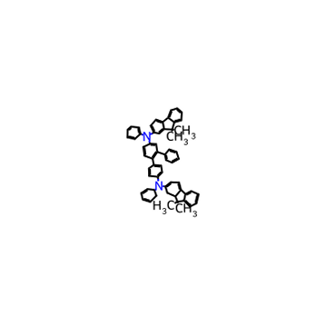 CC1(C)c2ccccc2-c2ccc(N(c3ccccc3)c3ccc(-c4ccc(N(C5=CC=C6c7ccccc7C(C)(C)C6C5)C5C=CC=CC5)cc4)c(-c4ccccc4)c3)cc21